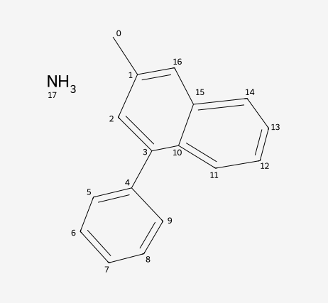 Cc1cc(-c2ccccc2)c2ccccc2c1.N